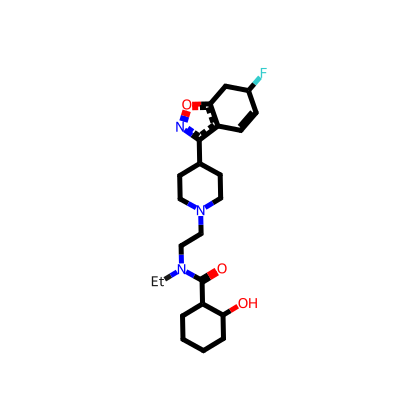 CCN(CCN1CCC(c2noc3c2C=CC(F)C3)CC1)C(=O)C1CCCCC1O